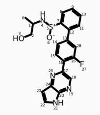 CC(CO)N[S+]([O-])c1ccccc1-c1ccc(-c2cnc3[nH]ccc3n2)c(F)c1